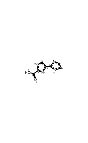 O=C(O)c1nc(-c2nccs2)cs1